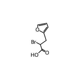 O=C(O)C(Br)Cc1ccco1